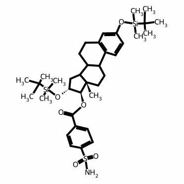 CC(C)(C)[Si](C)(C)Oc1ccc2c(c1)CCC1C2CC[C@@]2(C)C1C[C@@H](O[Si](C)(C)C(C)(C)C)[C@@H]2OC(=O)c1ccc(S(N)(=O)=O)cc1